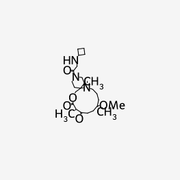 CO[C@]1(C)CCCN(C)C2(CCN(C(=O)CNC3CCC3)CC2)COC(=O)C(C)C(=O)CC1